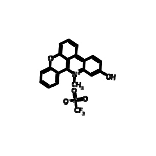 C[n+]1c2c3c(cccc3c3ccc(O)cc31)Oc1ccccc1-2.O=S(=O)([O-])C(F)(F)F